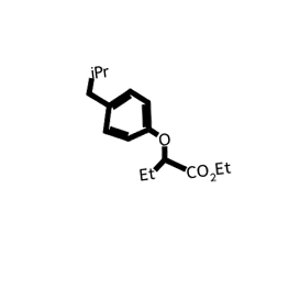 CCOC(=O)C(CC)Oc1ccc(CC(C)C)cc1